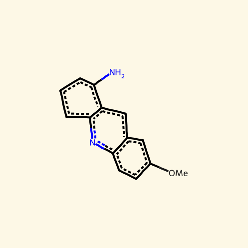 COc1ccc2nc3cccc(N)c3cc2c1